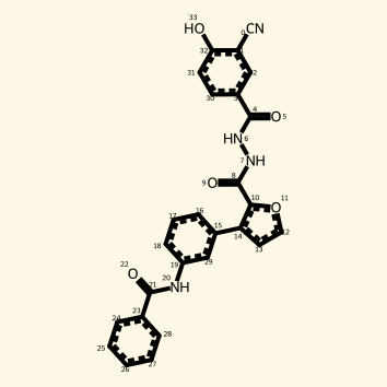 N#Cc1cc(C(=O)NNC(=O)c2occc2-c2cccc(NC(=O)c3ccccc3)c2)ccc1O